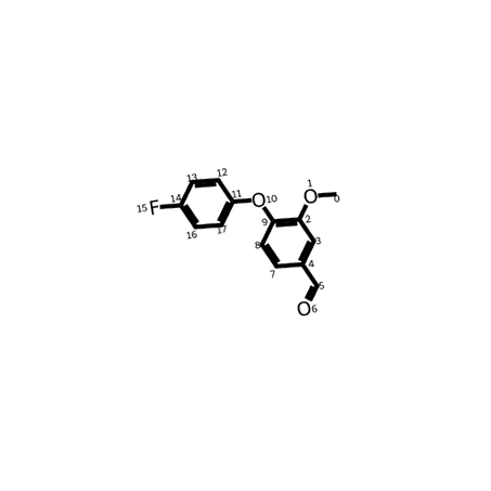 COc1cc(C=O)ccc1Oc1ccc(F)cc1